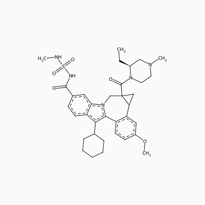 CC[C@H]1CN(C)CCN1C(=O)C12CC1c1cc(OC)ccc1-c1c(C3CCCCC3)c3ccc(C(=O)NS(=O)(=O)NC)cc3n1C2